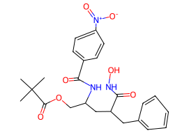 CC(C)(C)C(=O)OCC(CC(Cc1ccccc1)C(=O)NO)NC(=O)c1ccc([N+](=O)[O-])cc1